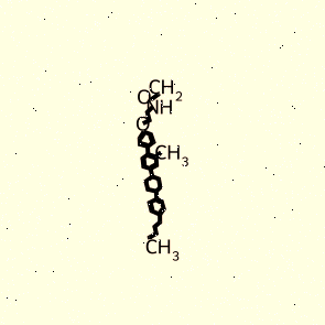 C=CC(=O)NCCOc1ccc(-c2ccc(C3CCC(c4ccc(CCCCC)cc4)CC3)cc2C)cc1